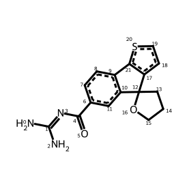 NC(N)=NC(=O)c1ccc2c(c1)C1(CCCO1)c1ccsc1-2